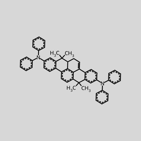 CC1(C)c2cc(N(c3ccccc3)c3ccccc3)ccc2C2=CCC3c4c(ccc1c42)-c1ccc(N(c2ccccc2)c2ccccc2)cc1C3(C)C